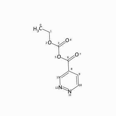 CCOC(=O)OC(=O)c1ccnnc1